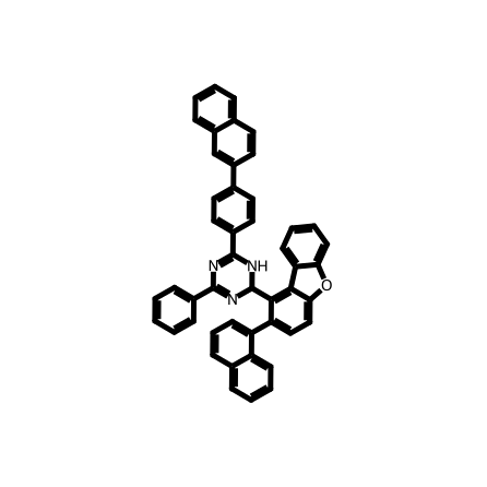 c1ccc(C2=NC(c3c(-c4cccc5ccccc45)ccc4oc5ccccc5c34)NC(c3ccc(-c4ccc5ccccc5c4)cc3)=N2)cc1